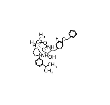 CC(C)c1cccc(C2(NC[C@@H](O)[C@H](Cc3ccc(OCc4ccccc4)c(F)c3)NC(=O)OC(C)(C)C)CCCCC2)c1